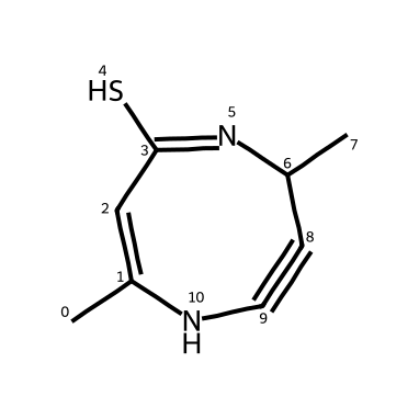 C/C1=C/C(S)=N\C(C)C#CN1